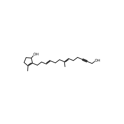 CC1=C(CC/C=C/CC/C(C)=C/CCC#CCO)C(O)CC1